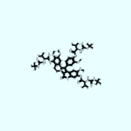 COc1cc(-c2c3n(c4c(=O)oc5cc(OC(=O)[C@H](NC(=O)OC(C)(C)C)C(C)C)c(OC)cc5c24)CCc2c-3cc(OC)c(OC)c2OC(=O)[C@H](NC(=O)OC(C)(C)C)C(C)C)ccc1OC(=O)[C@H](NC(=O)OC(C)(C)C)C(C)C